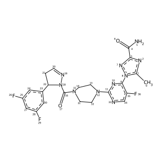 Cc1nc(C(N)=O)nn1-c1nc(N2CCN(C(=O)N3N=CCC3c3cc(F)cc(F)c3)CC2)ncc1F